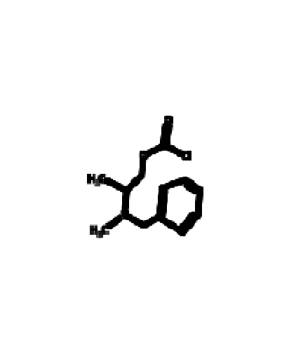 CC(COC(=O)Cl)N(C)Cc1ccccc1